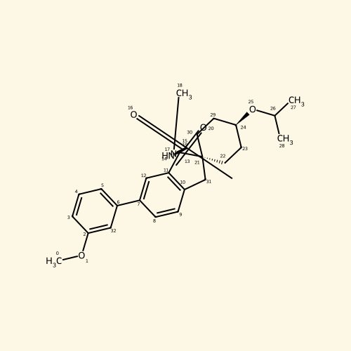 COc1cccc(-c2ccc3c(c2)C2(NC(=O)N(C)C2=O)[C@]2(CC[C@H](OC(C)C)CC2)C3)c1